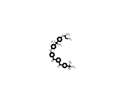 CCC(C)(C)c1ccc(C(=O)c2cccc(C(=O)c3ccc(Oc4ccc(C(C)(C)c5ccc(OC(C)CP)cc5)cc4)cc3)c2)cc1